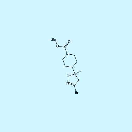 CC(C)(C)OC(=O)N1CCC(C2(C)CC(Br)=NO2)CC1